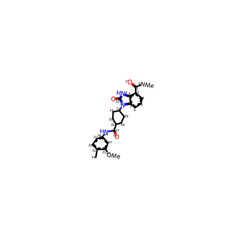 CNC(=O)c1cccc2c1[nH]c(=O)n2C1CCC(C(=O)Nc2ccc(C)c(OC)c2)CC1